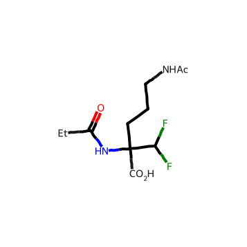 CCC(=O)NC(CCCNC(C)=O)(C(=O)O)C(F)F